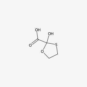 O=C(O)C1(O)OCCS1